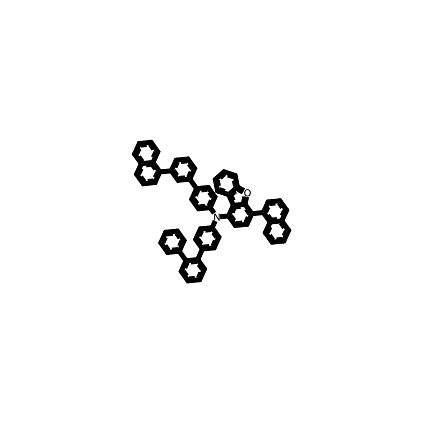 c1ccc(-c2ccccc2-c2ccc(N(c3ccc(-c4cccc(-c5cccc6ccccc56)c4)cc3)c3ccc(-c4cccc5ccccc45)c4oc5ccccc5c34)cc2)cc1